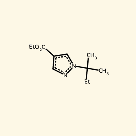 CCOC(=O)c1cnn(C(C)(C)CC)c1